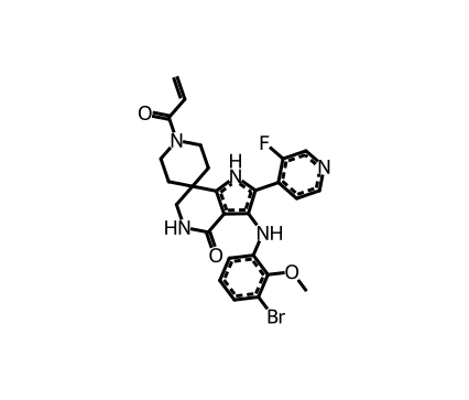 C=CC(=O)N1CCC2(CC1)CNC(=O)c1c2[nH]c(-c2ccncc2F)c1Nc1cccc(Br)c1OC